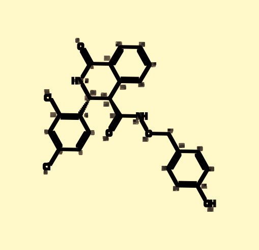 O=C1N[C@@H](c2ccc(Cl)cc2Cl)[C@H](C(=O)NOCc2ccc(O)cc2)c2ccccc21